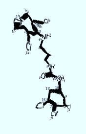 O=C(NCCCNc1c(Cl)cncc1Cl)Nc1cc(Cl)c(Cl)c(Cl)c1